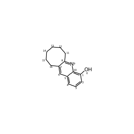 Oc1cccc2cc3c(nc12)CCCCCC3